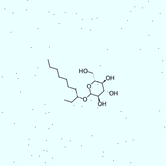 CCCCCCCC(CC)OC1O[C@H](CO)[C@@H](O)[C@H](O)[C@H]1O